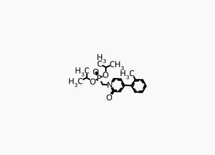 Cc1ccccc1-c1ccn(CP(=O)(OC(C)C)OC(C)C)c(=O)c1